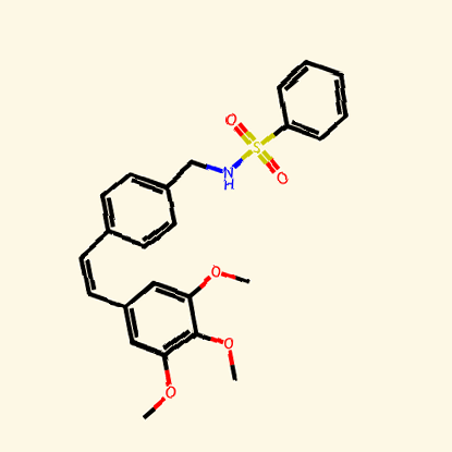 COc1cc(/C=C\c2ccc(CNS(=O)(=O)c3ccccc3)cc2)cc(OC)c1OC